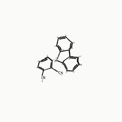 N#Cc1ccccc1C#N.c1ccc2c(c1)[nH]c1ccccc12